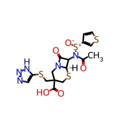 CC(=O)N(C1C(=O)N2CC(CSc3cnn[nH]3)(C(=O)O)CS[C@H]12)[S+]([O-])c1ccsc1